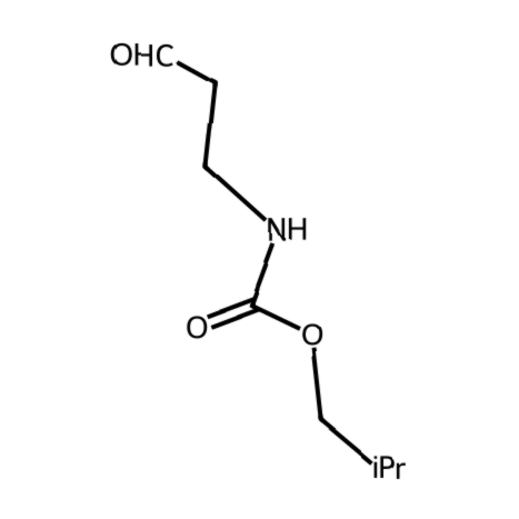 CC(C)COC(=O)NCCC=O